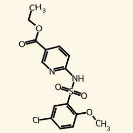 CCOC(=O)c1ccc(NS(=O)(=O)c2cc(Cl)ccc2OC)nc1